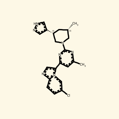 Cc1cc(-c2cnc3ccc(Cl)cn23)nc(N2C[C@@H](C)C[C@@H](c3cn[nH]c3)C2)n1